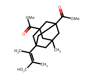 COC(=O)C12CC3(C)CC(C(=O)OC)(C1)CC(C(C)=C(C)C(=O)O)(C3)C2